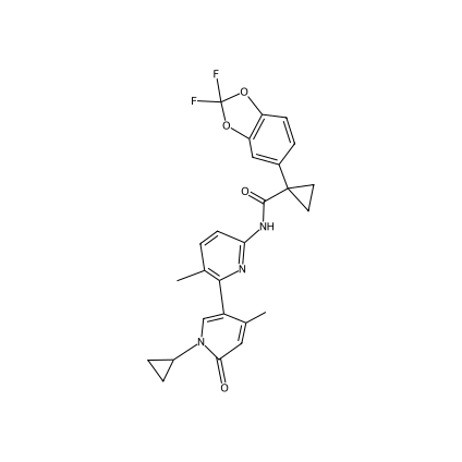 Cc1cc(=O)n(C2CC2)cc1-c1nc(NC(=O)C2(c3ccc4c(c3)OC(F)(F)O4)CC2)ccc1C